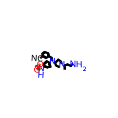 CC(CCN)N1CCC(N(Cc2cccc(C#N)c2)c2ccc(NS(C)(=O)=O)cc2)CC1